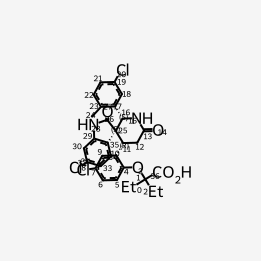 CCC(CC)(Oc1ccc(Cl)cc1[C@H]1CC(=O)N[C@@H](c2cc(Cl)ccc2C)[C@]12C(=O)Nc1cc(Cl)ccc12)C(=O)O